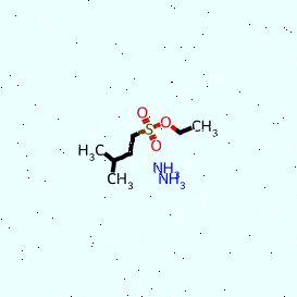 CCOS(=O)(=O)CCC(C)C.N.N